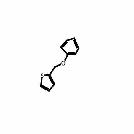 [CH](Oc1ccccc1)c1cccs1